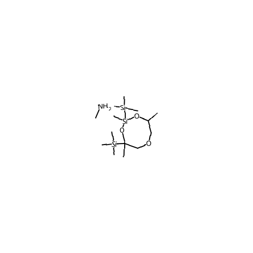 CC1COCC(C)([Si](C)(C)C)O[Si](C)([Si](C)(C)C)O1.CN